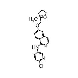 C[C@]1(COc2ccc3c(Nc4ccc(Cl)nc4)nccc3c2)CCCO1